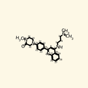 CN(C)CCCNc1cc(-c2ccc(N3CCN(C)C(=O)C3)cc2)nc2ccccc12